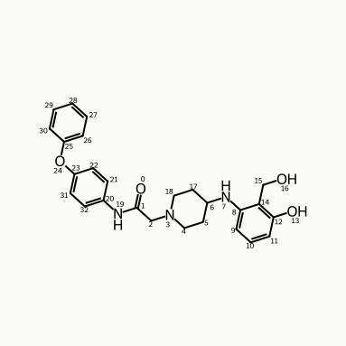 O=C(CN1CCC(Nc2cccc(O)c2CO)CC1)Nc1ccc(Oc2ccccc2)cc1